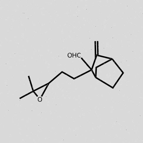 C=C1C2CCC(C2)C1(C=O)CCC1OC1(C)C